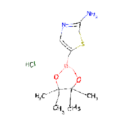 CC1(C)OB(c2cnc(N)s2)OC1(C)C.Cl